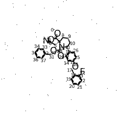 COC(=O)[C@@]1(CC#N)CCC[C@@H](c2ccc(OCc3ccccc3F)cc2)N1C(=O)OCc1ccccc1